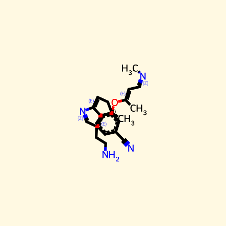 C/N=C\C=C(/C)Oc1cc(C#N)ccc1C1=C\C[C@@H](C)/C=C(CCN)/C=N\1